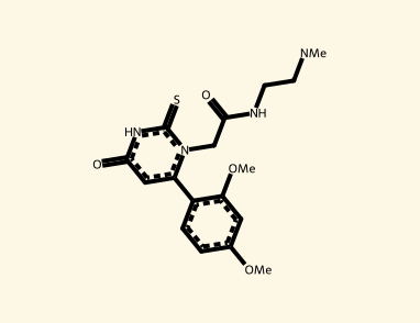 CNCCNC(=O)Cn1c(-c2ccc(OC)cc2OC)cc(=O)[nH]c1=S